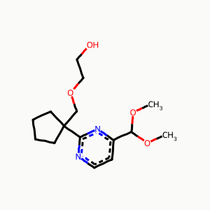 COC(OC)c1ccnc(C2(COCCO)CCCC2)n1